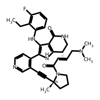 CCc1c(F)cccc1Nc1c(-c2ccncc2C#C[C@@]2(C)CCCN2C(=O)/C=C/CN(C)C)[nH]c2c1C(=O)NCC2